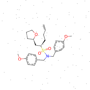 C=CCC[C@H](C[C@H]1CCCO1)S(=O)(=O)N(Cc1ccc(OC)cc1)Cc1ccc(OC)cc1